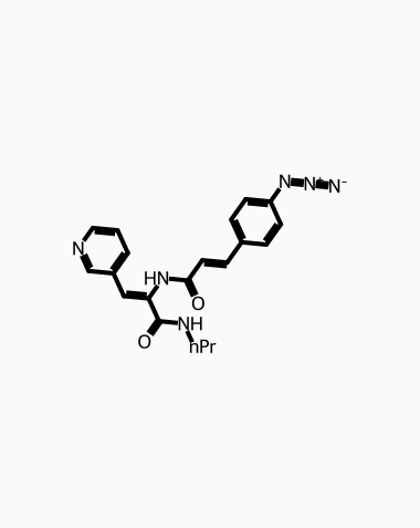 CCCNC(=O)/C(=C/c1cccnc1)NC(=O)/C=C/c1ccc(N=[N+]=[N-])cc1